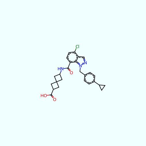 O=C(NC1CC2(C1)CC(C(=O)O)C2)c1ccc(Cl)c2cnn(Cc3ccc(C4CC4)cc3)c12